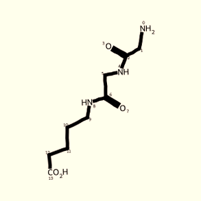 NCC(=O)NCC(=O)NCCCCC(=O)O